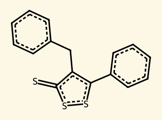 S=c1ssc(-c2ccccc2)c1Cc1ccccc1